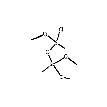 CO[Si](C)(Cl)O[Si](C)(OC)OC